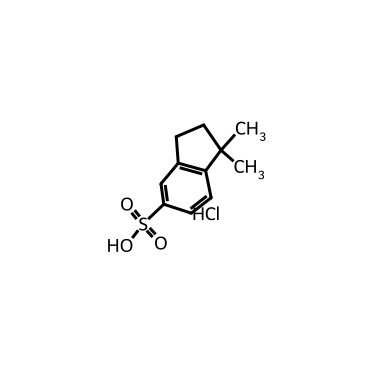 CC1(C)CCc2cc(S(=O)(=O)O)ccc21.Cl